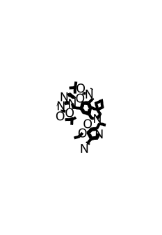 CCOc1cc(C(C)N2CC3(CCC3)c3c(CN(C)C(=O)OC(C)(C)C)cc(Cn4ccnc4N(C)C(=O)OC(C)(C)C)cc3C2=O)ncc1C#N